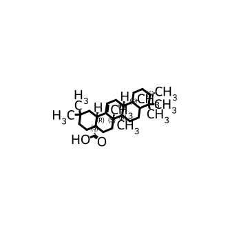 C[C@H]1CC[C@@]2(C)C(CC[C@]3(C)[C@@H]2CC=C2[C@H]4CC(C)(C)CC[C@]4(C(=O)O)CC[C@]23C)C1(C)C